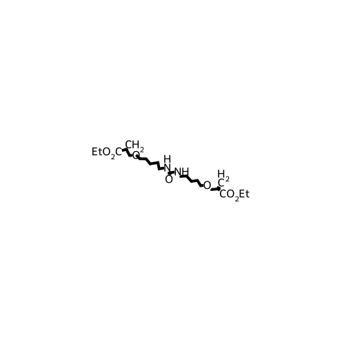 C=C(COCCCCCNC(=O)NCCCCCOCC(=C)C(=O)OCC)C(=O)OCC